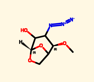 CO[C@H]1C2CO[C@H](O2)C(O)C1N=[N+]=[N-]